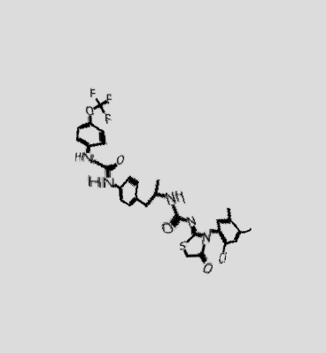 Cc1cc(Cl)c(N2C(=O)CSC2=NC(=O)NC(C)Cc2ccc(NC(=O)Nc3ccc(OC(F)(F)F)cc3)cc2)cc1C